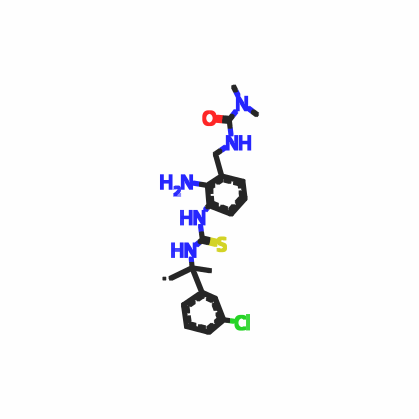 [CH2]C(C)(NC(=S)Nc1cccc(CNC(=O)N(C)C)c1N)c1cccc(Cl)c1